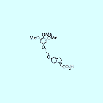 COc1cc(OCCCOc2ccc3c(c2)CC[C@H]3CC(=O)O)cc(OC)c1OC